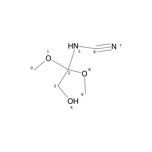 COC(CO)(NC#N)OC